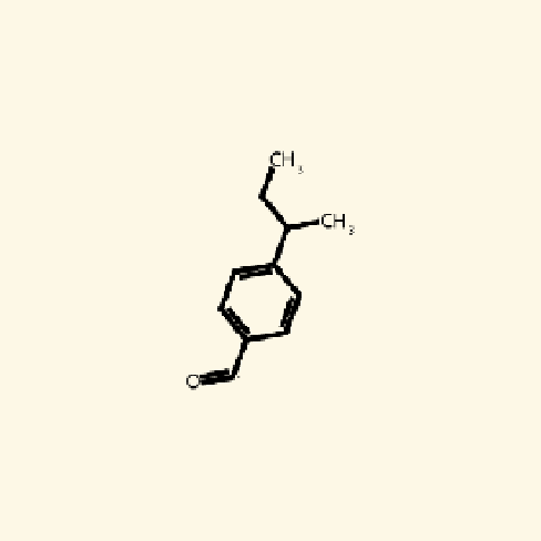 CCC(C)c1ccc([C]=O)cc1